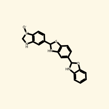 [O-][S+]1CNc2cc(C3Nc4cc(C5Nc6ccccc6O5)ccc4S3)ccc21